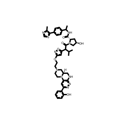 Cc1ncsc1-c1ccc(C(C)NC(=O)[C@@H]2C[C@@H](O)CN2C(=O)C(c2cc(OCCN3CCN4c5cc(-c6ccccc6O)nnc5NC[C@@H]4C3)no2)C(C)C)cc1